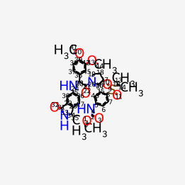 COC(=O)Nc1ccc(S(=O)(=O)C(C)C)c([C@H]2CCCN2C(=O)[C@H](Nc2ccc3c(c2)C(=O)NC3C)c2ccc(OC)c(OC)c2)c1